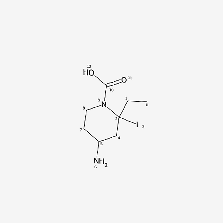 CCC1(I)CC(N)CCN1C(=O)O